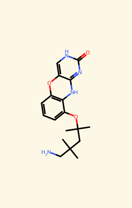 CC(C)(CN)CC(C)(C)Oc1cccc2c1Nc1nc(=O)[nH]cc1O2